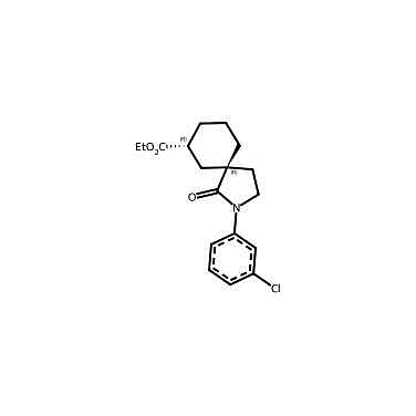 CCOC(=O)[C@@H]1CCC[C@]2(CCN(c3cccc(Cl)c3)C2=O)C1